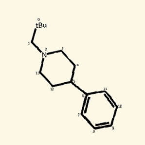 CC(C)(C)CN1CCC(c2ccccc2)CC1